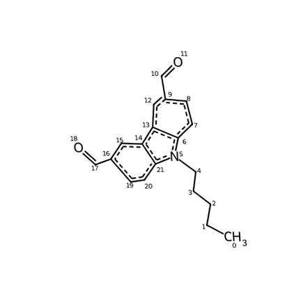 CCCCCn1c2ccc(C=O)cc2c2cc(C=O)ccc21